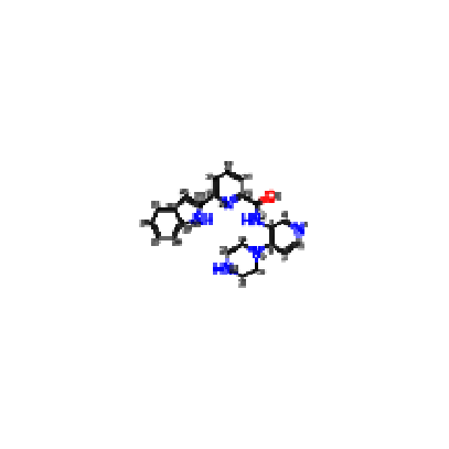 O=C(Nc1cnccc1N1CCNCC1)c1cccc(-c2cc3ccccc3[nH]2)n1